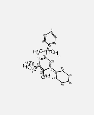 CC(C)(c1ccccc1)c1cc(C(=O)O)c(O)c(C2CCCCC2)c1.[Zn]